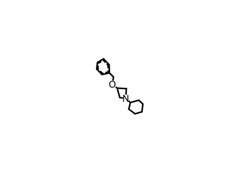 c1ccc(COC2CN(C3CCCCC3)C2)cc1